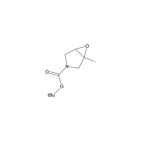 CC(C)(C)OC(=O)N1CC2OC2(C)C1